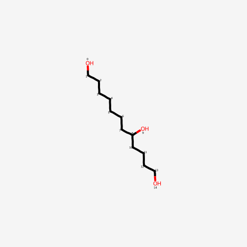 OCCCCCCCC(O)CCCCO